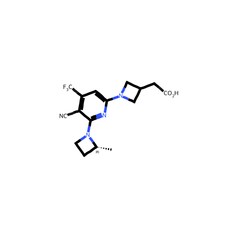 C[C@@H]1CCN1c1nc(N2CC(CC(=O)O)C2)cc(C(F)(F)F)c1C#N